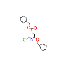 O=C(CCC(=NCCl)OCc1ccccc1)OCc1ccccc1